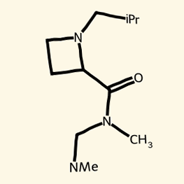 CNCN(C)C(=O)C1CCN1CC(C)C